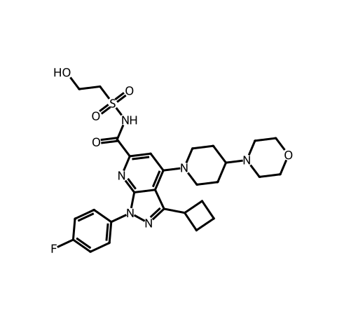 O=C(NS(=O)(=O)CCO)c1cc(N2CCC(N3CCOCC3)CC2)c2c(C3CCC3)nn(-c3ccc(F)cc3)c2n1